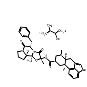 CN1C[C@H](C(=O)N[C@]2(C)O[C@@]3(O)[C@@H]4CCCN4C(=O)[C@H](Cc4ccccc4)N3C2=O)C[C@@H]2c3cccc4[nH]cc(c34)C[C@H]21.O=C(O)C(O)C(O)C(=O)O